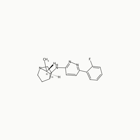 C[C@@H]1[C@@H](Nc2ccc(-c3ccccc3F)nn2)C2CCN1CC2